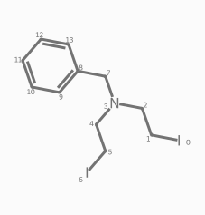 ICCN(CCI)Cc1ccccc1